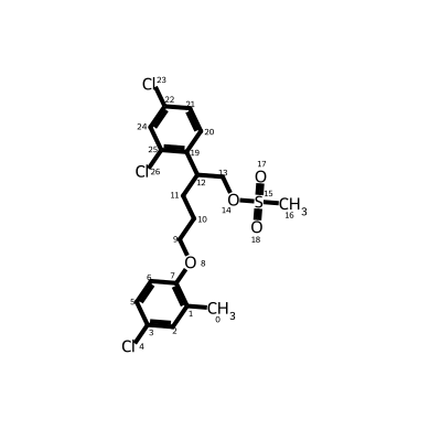 Cc1cc(Cl)ccc1OCCCC(COS(C)(=O)=O)c1ccc(Cl)cc1Cl